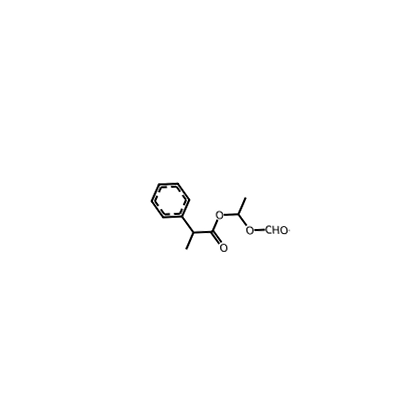 CC(O[C]=O)OC(=O)C(C)c1ccccc1